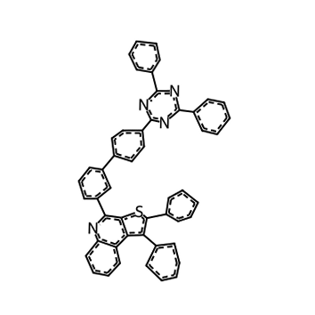 c1ccc(-c2nc(-c3ccccc3)nc(-c3ccc(-c4cccc(-c5nc6ccccc6c6c(-c7ccccc7)c(-c7ccccc7)sc56)c4)cc3)n2)cc1